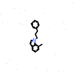 Cc1cccc2ccn(CCCc3ccccc3)c12